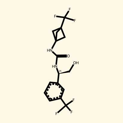 O=C(N[C@@H](CO)c1cccc(C(F)(F)F)c1)NC12CC(C(F)(F)F)(C1)C2